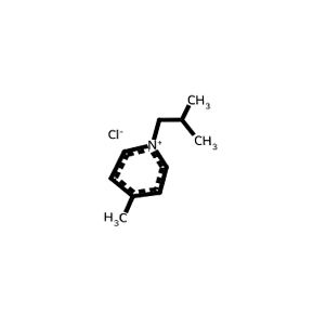 Cc1cc[n+](CC(C)C)cc1.[Cl-]